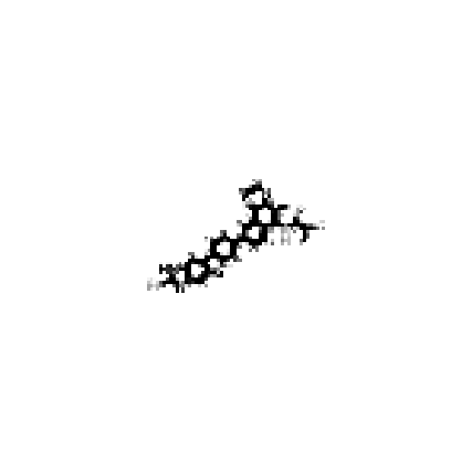 CC/C(C)=C(/Nc1c(C)c2nccnc2c2cc(-c3ccc4c(c3)sc3cc5nc(C(C)C)[nH]c5cc34)ccc12)C(C)C